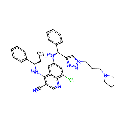 CC[C@@H](Nc1c(C#N)cnc2c(Cl)cc(N[C@@H](c3ccccc3)c3cn(CCCN4CCCC4)nn3)cc12)c1ccccc1